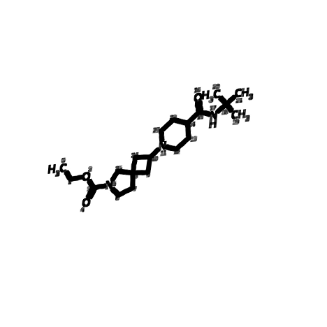 CCOC(=O)N1CCC2(CC(N3CCC(C(=O)NC(C)(C)C)CC3)C2)C1